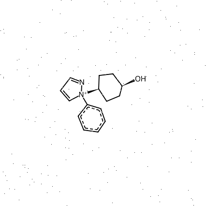 O[C@H]1CC[C@@H]([N+]2(c3ccccc3)C=CC=N2)CC1